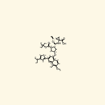 C=C[C@@H]1C[C@]1(NC(=O)[C@@H]1C[C@@H](Oc2cc(-c3nc(C(C)C)cs3)nc3c(C)c(OC)ccc23)CN1C(=O)OC(C)(C)C)C(=O)O